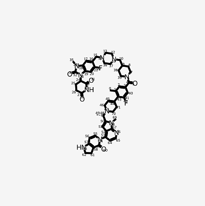 Cc1cc(C(=O)N2CCC(CN3CCN(Cc4cc5c(cc4F)n(C4CCC(=O)NC4=O)c(=O)n5C)CC3)CC2)cc(F)c1C1=CCN([C@@H](C)c2cc3c(-n4ccc5c(c4=O)CCN5)ccnc3n2C)CC1